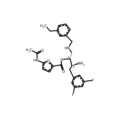 CCc1cccc(CNC[C@@H](OC(=O)c2ccc(NC(C)=O)o2)[C@@H](N)Cc2cc(F)cc(F)c2)c1